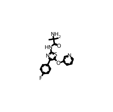 CC(C)(N)C(=O)Nc1nc(-c2ccc(F)cc2)c(Oc2cccnc2)s1